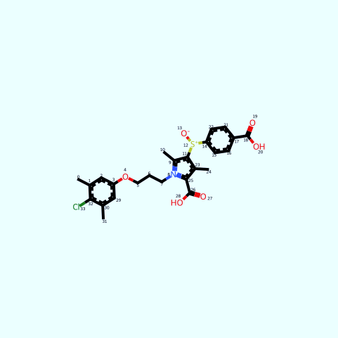 Cc1cc(OCCCn2c(C)c([S+]([O-])c3ccc(C(=O)O)cc3)c(C)c2C(=O)O)cc(C)c1Cl